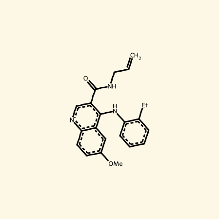 C=CCNC(=O)c1cnc2ccc(OC)cc2c1Nc1ccccc1CC